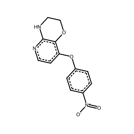 O=[N+]([O-])c1ccc(Oc2ccnc3c2OCCN3)cc1